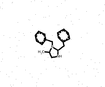 CC1CNC(Cc2ccccc2)N1Cc1ccccc1